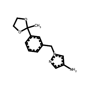 CC1(c2cccc(Cn3cc(N)cn3)c2)OCCO1